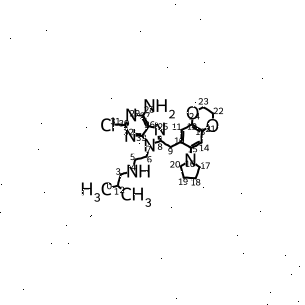 CC(C)CNCCn1c(Cc2cc3c(cc2N2CCCC2)OCCO3)nc2c(N)nc(Cl)nc21